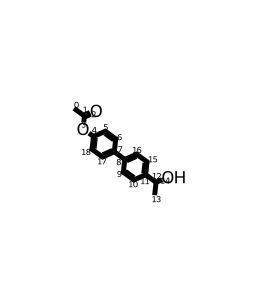 CC(=O)Oc1ccc(-c2ccc(C(C)O)cc2)cc1